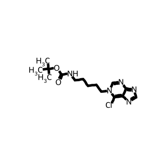 CC(C)(C)OC(=O)NCCCCCn1cnc2ncnc-2c1Cl